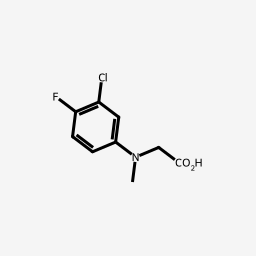 CN(CC(=O)O)c1ccc(F)c(Cl)c1